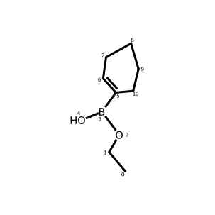 CCOB(O)C1=CCCCC1